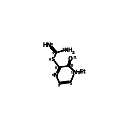 CCn1ccnc(SC(=N)N)c1=O